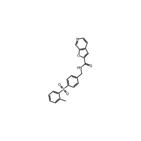 Cc1ccccc1S(=O)(=O)c1ccc(CNC(=O)c2cc3ccncc3o2)cc1